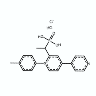 Cc1ccc(-[n+]2ccc(-c3ccncc3)cc2C(C)P(=O)(O)O)cc1.Cl.[Cl-]